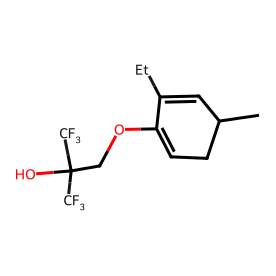 CCC1=CC(C)CC=C1OCC(O)(C(F)(F)F)C(F)(F)F